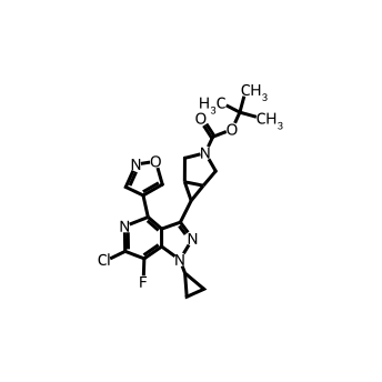 CC(C)(C)OC(=O)N1CC2C(C1)C2c1nn(C2CC2)c2c(F)c(Cl)nc(-c3cnoc3)c12